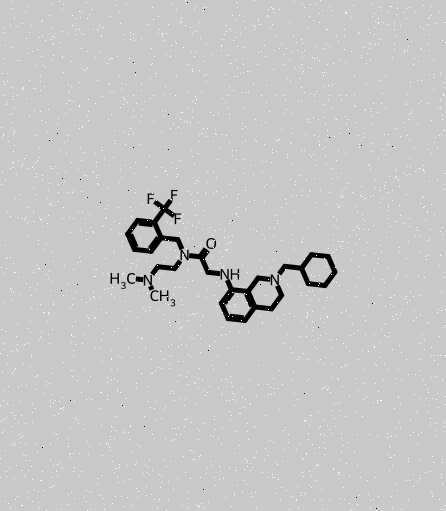 CN(C)CCN(Cc1ccccc1C(F)(F)F)C(=O)CNc1cccc2c1CN(CC1CCCCC1)CC2